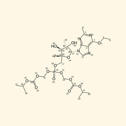 CCOc1nc(C)nc2c1ncn2[C@@H]1O[C@](F)(COP(=O)(OCOC(=O)OC(C)C)OCOC(=O)OC(C)C)[C@@H](O)[C@@]1(C)O